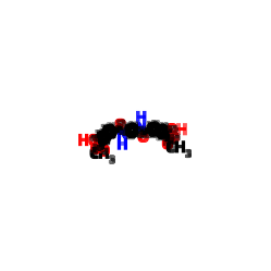 COC(=O)c1cc2cc(C(=O)N[C]3C=C[C](NC(=O)c4ccc5cc(O)c(C(=O)OC)cc5c4)C=C3)ccc2cc1O